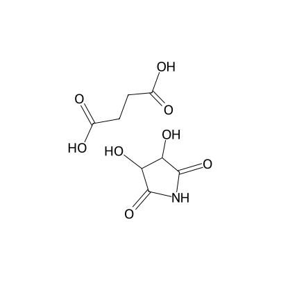 O=C(O)CCC(=O)O.O=C1NC(=O)C(O)C1O